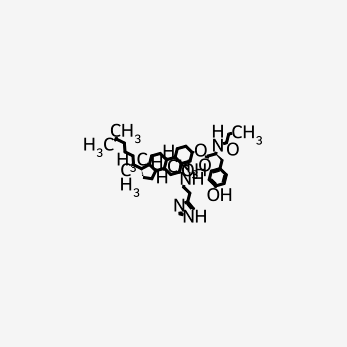 CCC(=O)N[C@@H](Cc1ccc(O)cc1)C(=O)O[C@H]1CC[C@]2(C)[C@H]3CC[C@]4(C)[C@@H]([C@H](C)CCCC(C)C)CC[C@H]4[C@@H]3C[C@@H](NCCc3c[nH]cn3)[C@@]2(O)C1